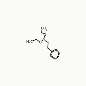 CCOP(CCc1ccccc1)OCC